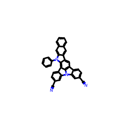 N#Cc1ccc2c3cc4c5cc6ccccc6cc5n(-c5ccccc5)c4c4c5ccc(C#N)cc5n(c2c1)c34